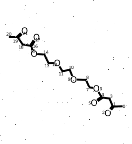 CC(=O)CC(=O)OCCOCCOCCOC(=O)CC(C)=O